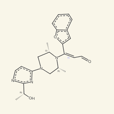 C[C@@H]1CN(c2ccnc([C@@H](C)O)n2)C[C@H](C)N1/C(=C/C=O)c1cc2ccccc2o1